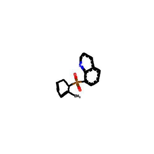 CC1=CC=CCC1S(=O)(=O)c1cccc2cccnc12